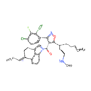 C=CCCC(CCNC=O)c1onc(-c2ccc(Cl)c(F)c2Cl)c1C(=O)n1cc2c3c(cccc31)/C(=C/C(=O)O)CC2